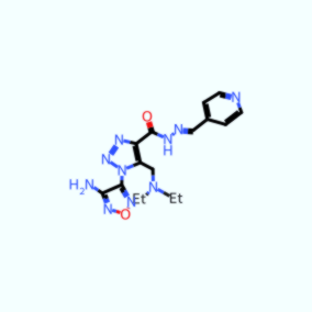 CCN(CC)Cc1c(C(=O)NN=Cc2ccncc2)nnn1-c1nonc1N